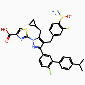 CC(C)c1ccc(-c2cc(-c3nn(-c4nc(C(=O)O)cs4)c(CC4CC4)c3Cc3ccc([S+](N)[O-])c(F)c3)ccc2F)cc1